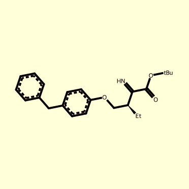 CC[C@@H](COc1ccc(Cc2ccccc2)cc1)C(=N)C(=O)OC(C)(C)C